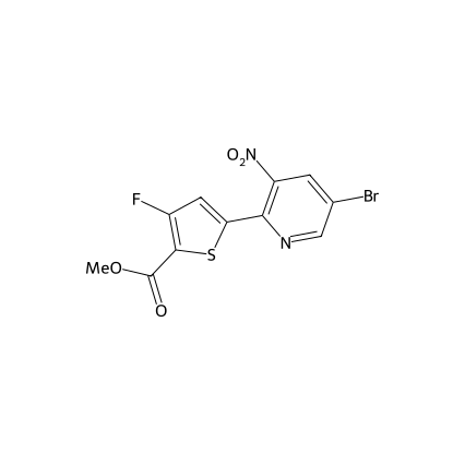 COC(=O)c1sc(-c2ncc(Br)cc2[N+](=O)[O-])cc1F